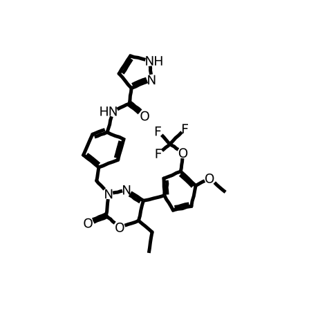 CCC1OC(=O)N(Cc2ccc(NC(=O)c3cc[nH]n3)cc2)N=C1c1ccc(OC)c(OC(F)(F)F)c1